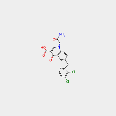 NC(=O)Cn1cc(C(=O)O)c(=O)c2cc(Cc3cccc(Cl)c3Cl)ccc21